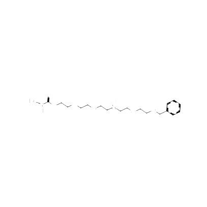 CC(C)(C)NC(=O)OCCOCCOCCNCCOCCOCc1ccccc1